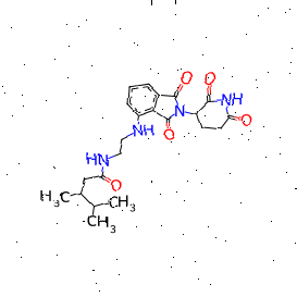 CC(C)C(C)CC(=O)NCCNc1cccc2c1C(=O)N(C1CCC(=O)NC1=O)C2=O